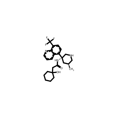 C[C@@H]1CNC[C@](NC(=O)CC2(O)CCCCC2)(c2ccc(C(F)(F)F)c3ncccc23)C1